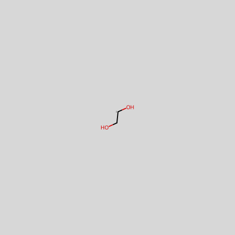 O[C]CO